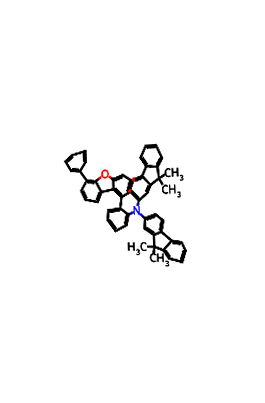 CC1(C)c2ccccc2-c2ccc(N(c3ccc4c(c3)C(C)(C)c3ccccc3-4)c3ccccc3-c3cccc4oc5c(-c6ccccc6)cccc5c34)cc21